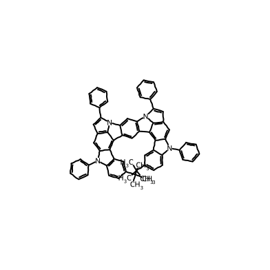 CC(C)(C)c1ccc2c(c1)c1c3c4cc5c6c7c8cc(C(C)(C)C)ccc8n(-c8ccccc8)c7cc7cc(-c8ccccc8)n(c5cc4n4c(-c5ccccc5)cc(cc1n2-c1ccccc1)c34)c76